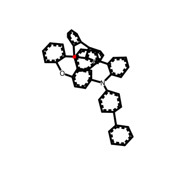 c1ccc(-c2ccc(N(c3ccc4c(c3)C3(c5ccccc5O4)c4ccccc4-c4ccccc43)c3ccccc3-c3ccccc3)cc2)cc1